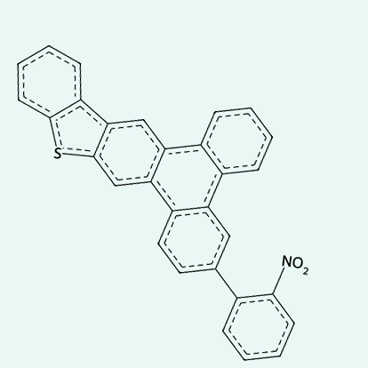 O=[N+]([O-])c1ccccc1-c1ccc2c(c1)c1ccccc1c1cc3c(cc21)sc1ccccc13